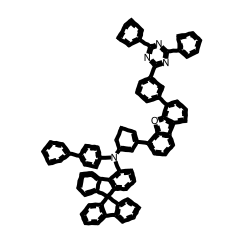 C1=C=C2C(=CC=1)C1(c3ccccc3-c3ccccc31)c1cccc(N(C3=CC(c4cccc5c4oc4c(-c6cccc(-c7nc(-c8ccccc8)nc(-c8ccccc8)n7)c6)cccc45)=CCC3)c3ccc(-c4ccccc4)cc3)c12